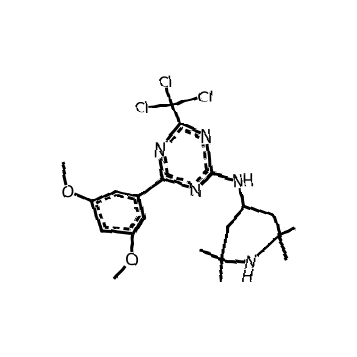 COc1cc(OC)cc(-c2nc(NC3CC(C)(C)NC(C)(C)C3)nc(C(Cl)(Cl)Cl)n2)c1